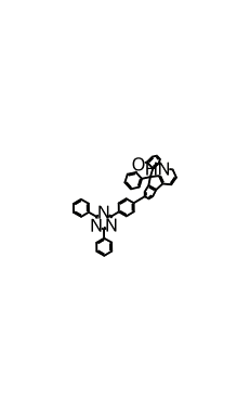 C1=CC2=C(NC1)C1(c3ccccc3Oc3ccccc31)c1cc(-c3ccc(-c4nc(-c5ccccc5)nc(-c5ccccc5)n4)cc3)ccc12